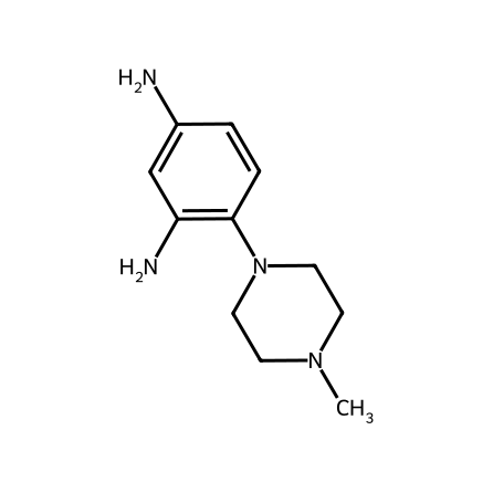 CN1CCN(c2ccc(N)cc2N)CC1